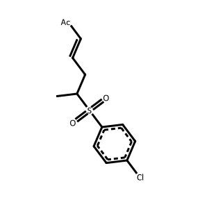 CC(=O)C=CCC(C)S(=O)(=O)c1ccc(Cl)cc1